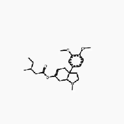 CCC(C)CC(=O)OC1=CCC2(c3ccc(OC)c(OC)c3)CCN(C)C2C1